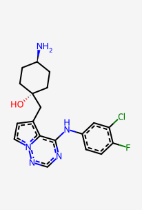 N[C@H]1CC[C@@](O)(Cc2ccn3ncnc(Nc4ccc(F)c(Cl)c4)c23)CC1